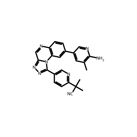 Cc1cc(-c2ccc3ncc4nnc(-c5ccc(C(C)(C)C#N)nc5)n4c3c2)cnc1N